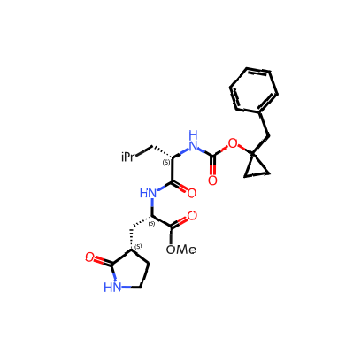 COC(=O)[C@H](C[C@@H]1CCNC1=O)NC(=O)[C@H](CC(C)C)NC(=O)OC1(Cc2ccccc2)CC1